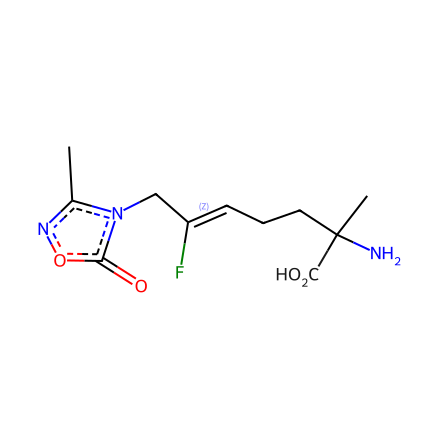 Cc1noc(=O)n1C/C(F)=C/CCC(C)(N)C(=O)O